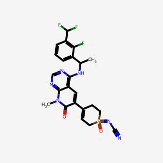 CC(Nc1ncnc2c1cc(C1=CCS(=O)(=NC#N)CC1)c(=O)n2C)c1cccc(C(F)F)c1F